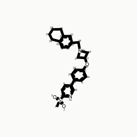 CS(=O)(=O)c1ccc(-c2ccc(OC3CN(Cc4ccc5c(c4)CCCC5)C3)cc2)cn1